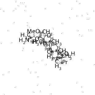 CO[C@H](C)[C@H](OC[C@](C)(N)C(C)C)C1(C)COC[C@@]2(C)C3=CC[C@@]4(C)[C@H](C(=O)O)[C@@](C)([C@H](C)C(C)C)CC[C@]4(C)[C@H]3CC[C@@H]12